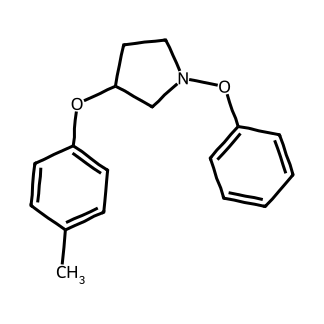 Cc1ccc(OC2CCN(Oc3ccccc3)C2)cc1